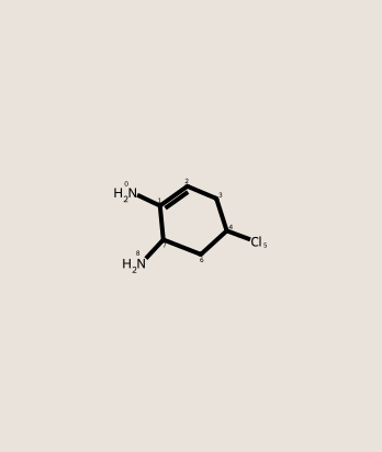 NC1=CCC(Cl)CC1N